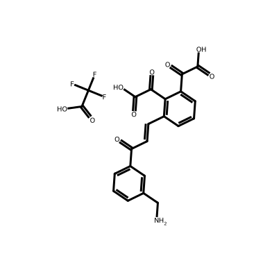 NCc1cccc(C(=O)C=Cc2cccc(C(=O)C(=O)O)c2C(=O)C(=O)O)c1.O=C(O)C(F)(F)F